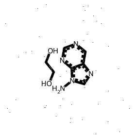 Nn1cnc2cncnc21.OCCO